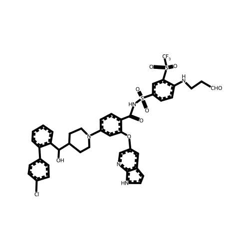 O=CCCNc1ccc(S(=O)(=O)NC(=O)c2ccc(N3CCC(C(O)c4ccccc4-c4ccc(Cl)cc4)CC3)cc2Oc2cnc3[nH]ccc3c2)cc1S(=O)(=O)C(F)(F)F